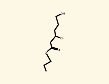 CCCOC(=O)CC(O)CCCO